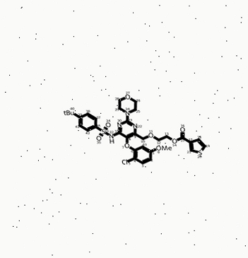 COc1ccc(Cl)c(Oc2c(COCCOC(=O)c3ccsc3)nc(N3CCOCC3)nc2NS(=O)(=O)c2ccc(C(C)(C)C)cc2)c1